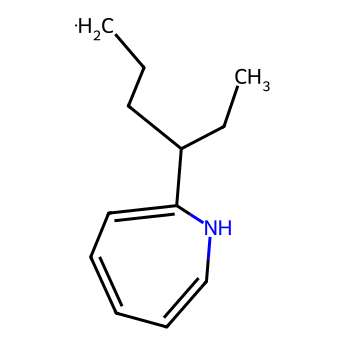 [CH2]CCC(CC)C1=CC=CC=CN1